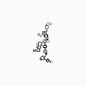 CC1(C)CCC(CN2CCN(c3ccc(C(=O)NS(=O)(=O)c4ccc(NCC5CCC(C)(O)CC5)c([N+](=O)[O-])c4)c(N4CCCOc5nc6[nH]ccc6cc54)c3)CC2)=C(c2ccc(Cl)cc2)C1